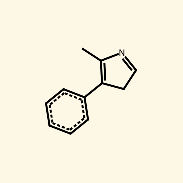 CC1=C(c2ccccc2)CC=N1